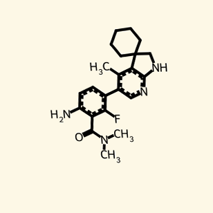 Cc1c(-c2ccc(N)c(C(=O)N(C)C)c2F)cnc2c1C1(CCCCC1)CN2